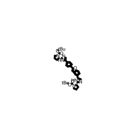 CC(C)(C)OC(=O)N1CCC[C@H]1c1ncc(-c2ccc(-c3cc4cc(-c5cnc([C@@H]6CCCN6C(=O)OC(C)(C)C)[nH]5)ccc4o3)cc2)[nH]1